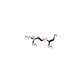 CC(=CC(C)C)OC=C[SiH](C)C